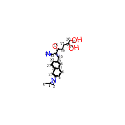 CC1CN1c1ccc2cc(/C=C(\C#N)C(=O)CCC(O)CO)ccc2c1